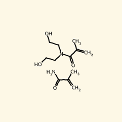 C=C(C)C(=O)N(CCO)CCO.C=C(C)C(N)=O